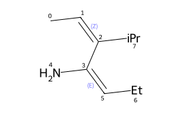 C/C=C(\C(N)=C/CC)C(C)C